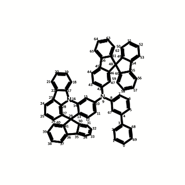 c1ccc(-c2cccc(N(c3ccc4c(c3)-n3c5ccccc5c5cccc(c53)C43c4ccccc4-c4ccccc43)c3ccc4c(c3)C3(c5ccccc5-c5ccccc53)c3ccccc3-4)c2)cc1